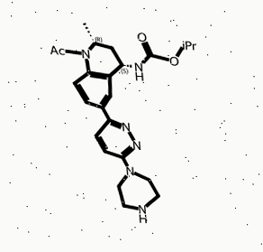 CC(=O)N1c2ccc(-c3ccc(N4CCNCC4)nn3)cc2[C@@H](NC(=O)OC(C)C)C[C@H]1C